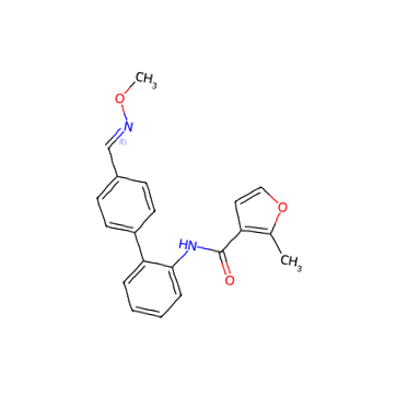 CO/N=C/c1ccc(-c2ccccc2NC(=O)c2ccoc2C)cc1